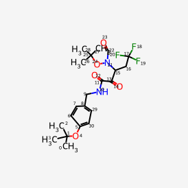 CC(C)(C)Oc1ccc(CNC(=O)C(=O)C(CC(F)(F)F)N(C=O)OC(C)(C)C)cc1